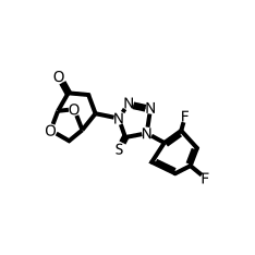 O=C1CC(n2nnn(-c3ccc(F)cc3F)c2=S)C2COC1O2